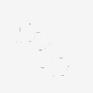 CC1(C)CCC(C=O)=C(c2ccc(C(F)(F)F)c(Cl)c2)C1